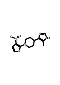 Cc1[nH]cnc1C1CCN(c2sccc2[N+](=O)[O-])CC1